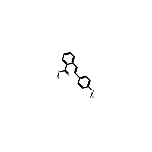 COC(=O)c1ccccc1/C=C/c1ccc(OC)cc1